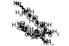 CC1C[C@H](NC(=O)[C@H](CS)NC(=O)[C@@H]2CCCN2C(=O)[C@H](CCCNN)NC(=O)[C@H](CCC(N)=O)NC(=O)[C@H](CO)NC(=O)CNC(=O)CNC(=O)CNC(=O)CNC(=O)[C@@H](N)CCCCN=[N+]=[N-])C(=O)N1[C@@H](CO)C(N)=O